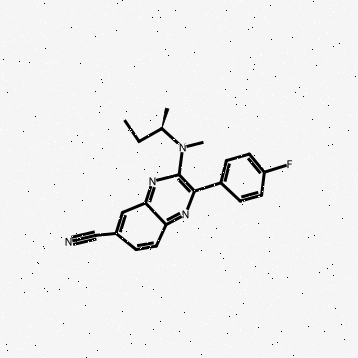 CC[C@@H](C)N(C)c1nc2cc(C#N)ccc2nc1-c1ccc(F)cc1